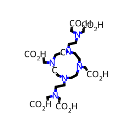 O=C(O)CN1CCN(CCN(CC(=O)O)CC(=O)O)CCN(CC(=O)O)CCN(CCN(CC(=O)O)CC(=O)O)CC1